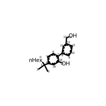 CCCCCCC(C)(C)c1ccc(-c2cccc(CO)c2)c(O)c1